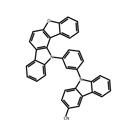 N#Cc1ccc2c(c1)c1ccccc1n2-c1cccc(-n2c3ccccc3c3ccc4oc5ccccc5c4c32)c1